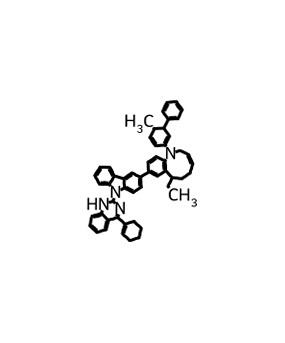 CCC1CC/C=C\CN(C2=CC(c3ccccc3)C(C)C=C2)c2ccc(-c3ccc4c(c3)c3ccccc3n4C3N=C(C4=CCCCC4)c4ccccc4N3)cc21